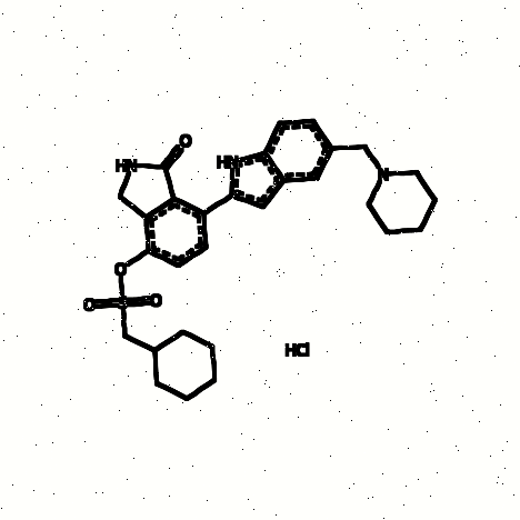 Cl.O=C1NCc2c(OS(=O)(=O)CC3CCCCC3)ccc(-c3cc4cc(CN5CCCCC5)ccc4[nH]3)c21